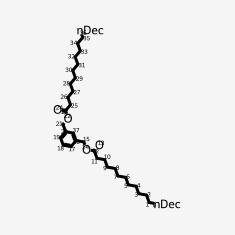 CCCCCCCCCCCCCCCCCCCCCC(=O)OCc1cccc(COC(=O)CCCCCCCCCCCCCCCCCCCCC)c1